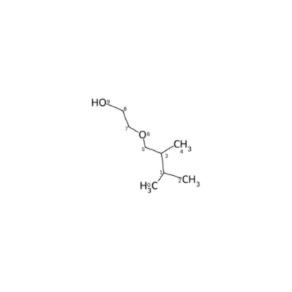 CC(C)C(C)COCCO